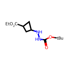 CCOC(=O)C1CC(NNC(=O)OC(C)(C)C)C1